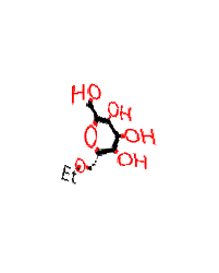 CCOC[C@@H]1OC(CO)[C@H](O)C(O)C1O